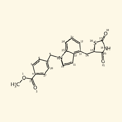 COC(=O)c1ccc(Cn2ccc3c(CC4SC(=O)NC4=O)cccc32)cc1